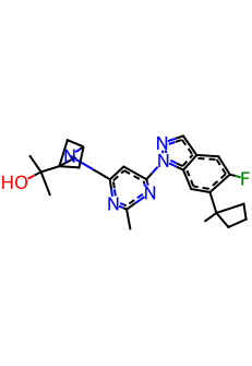 Cc1nc(N2CC3(C(C)(C)O)CC2C3)cc(-n2ncc3cc(F)c(C4(C)CCC4)cc32)n1